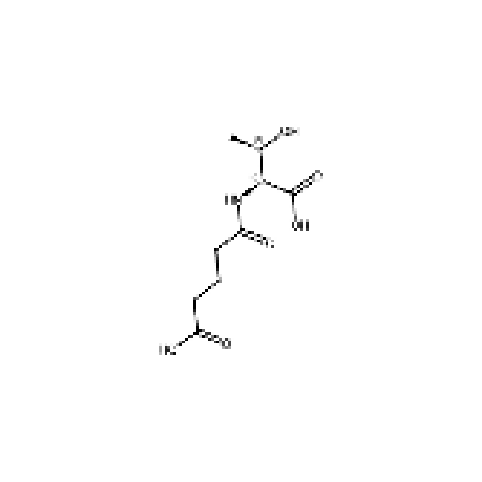 C[C@@H](O)[C@H](NC(=O)CCCC(=O)O)C(=O)O